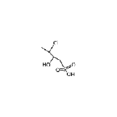 CC(Cl)C(O)CS(=O)(=O)O